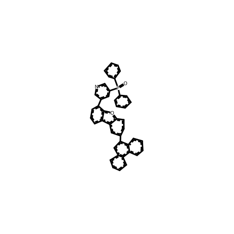 O=P(c1ccccc1)(c1ccccc1)c1cncc(-c2cccc3c2oc2ccc(-c4cc5ccccc5c5ccccc45)cc23)c1